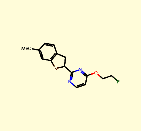 COc1ccc2c(c1)SC(c1nccc(OCCF)n1)C2